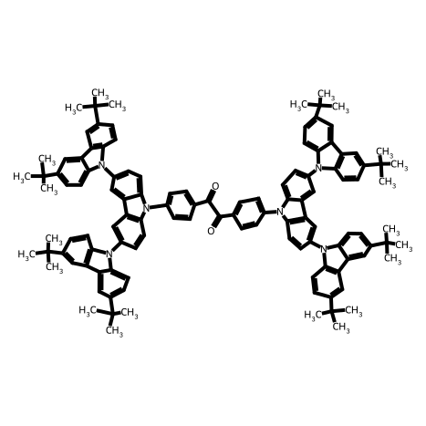 CC(C)(C)c1ccc2c(c1)c1cc(C(C)(C)C)ccc1n2-c1ccc2c(c1)c1cc(-n3c4ccc(C(C)(C)C)cc4c4cc(C(C)(C)C)ccc43)ccc1n2-c1ccc(C(=O)C(=O)c2ccc(-n3c4ccc(-n5c6ccc(C(C)(C)C)cc6c6cc(C(C)(C)C)ccc65)cc4c4cc(-n5c6ccc(C(C)(C)C)cc6c6cc(C(C)(C)C)ccc65)ccc43)cc2)cc1